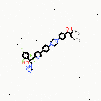 CCC(C)C(O)c1ccc(N2CCN(c3ccc(-c4ccc(C(F)(F)[C@](O)(Cn5cnnn5)c5ccc(F)cc5F)nc4)cc3)CC2)cc1